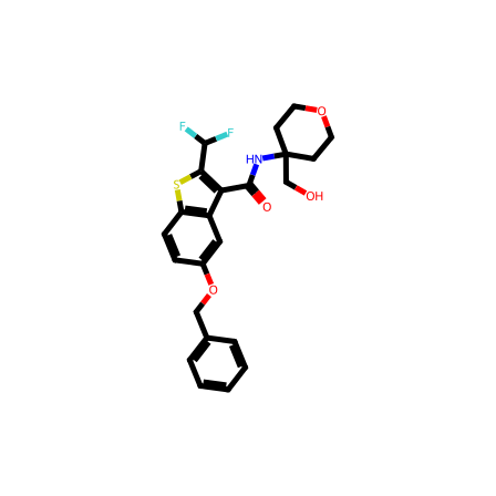 O=C(NC1(CO)CCOCC1)c1c(C(F)F)sc2ccc(OCc3ccccc3)cc12